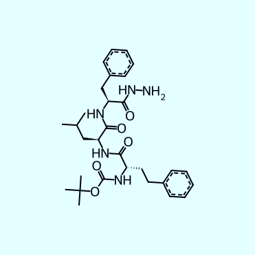 CC(C)C[C@H](NC(=O)[C@H](CCc1ccccc1)NC(=O)OC(C)(C)C)C(=O)N[C@@H](Cc1ccccc1)C(=O)NN